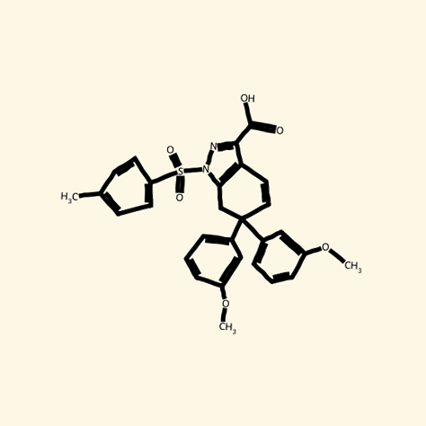 COc1cccc(C2(c3cccc(OC)c3)C=Cc3c(C(=O)O)nn(S(=O)(=O)c4ccc(C)cc4)c3C2)c1